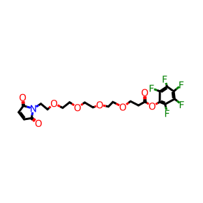 O=C(CCOCCOCCOCCOCCN1C(=O)C=CC1=O)Oc1c(F)c(F)c(F)c(F)c1F